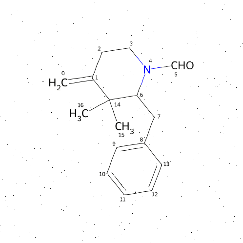 C=C1CCN(C=O)C(Cc2ccccc2)C1(C)C